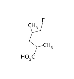 CC(CF)CC(C)C(=O)O